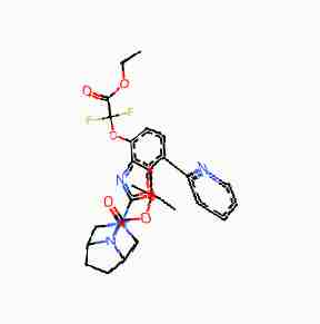 CCOC(=O)C(F)(F)Oc1ccc(-c2ccccn2)c2oc(N3CC4CCC(C3)N4C(=O)OC(C)(C)C)nc12